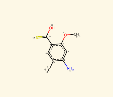 COc1cc(N)c(C)cc1C(O)=S